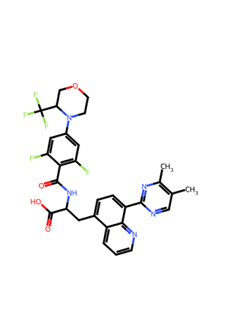 Cc1cnc(-c2ccc(CC(NC(=O)c3c(F)cc(N4CCOCC4C(F)(F)F)cc3F)C(=O)O)c3cccnc23)nc1C